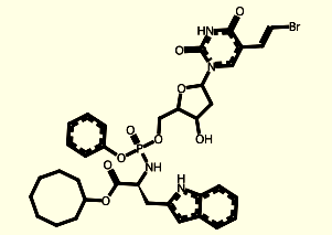 O=C(OC1CCCCCCC1)[C@H](Cc1cc2ccccc2[nH]1)NP(=O)(OCC1OC(n2cc(/C=C/Br)c(=O)[nH]c2=O)CC1O)Oc1ccccc1